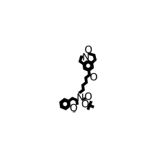 COc1ccccc1CC(C)N(CCCCCC(=O)c1cc2c3c(c1)CCN3C(=O)CC2)C(=O)OC(C)(C)C